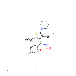 [C-]#[N+]c1c(N2CCOCC2)sc(C(=O)O)c1C(NS(C)(=O)=O)c1ccc(Cl)cc1